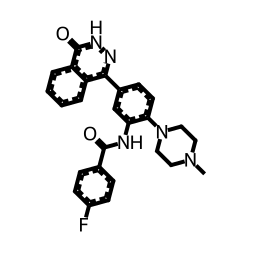 CN1CCN(c2ccc(-c3n[nH]c(=O)c4ccccc34)cc2NC(=O)c2ccc(F)cc2)CC1